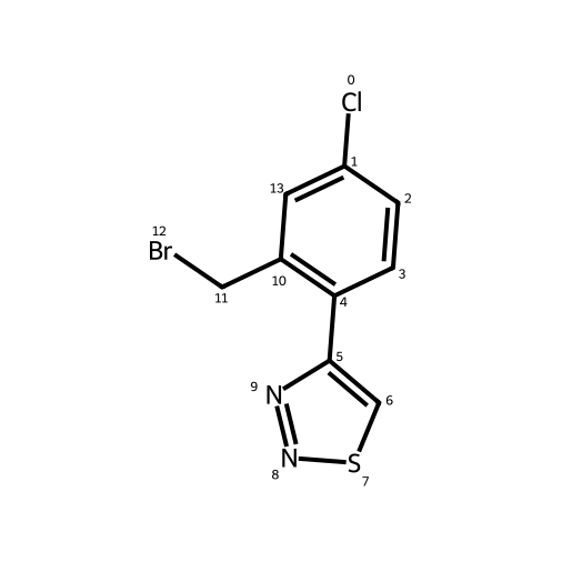 Clc1ccc(-c2csnn2)c(CBr)c1